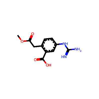 COC(=O)Cc1ccc(NC(=N)N)cc1C(=O)O